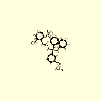 FC(F)(F)Oc1cccc(C(CNCc2ccncc2Cl)(Cc2ccccc2)c2cccc(OC(F)(F)F)c2)c1